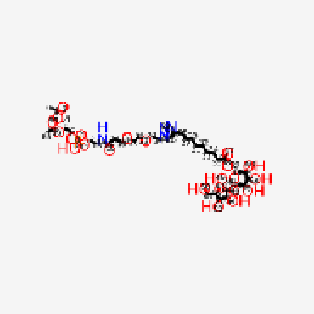 CC(=O)OC[C@H](COP(=O)(O)OCCNC(=O)CCOCCOCCn1cc(CCCCCCCCC(=O)OC[C@H]2O[C@H](O[C@]3(CO)O[C@H](CO)[C@@H](O)[C@@H]3O)[C@H](O)[C@@H](O)[C@@H]2O)nn1)OC(C)=O